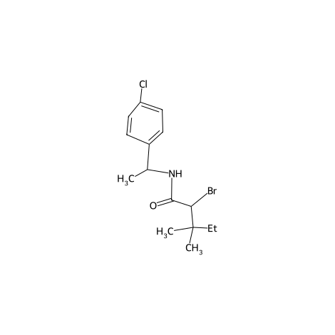 CCC(C)(C)C(Br)C(=O)NC(C)c1ccc(Cl)cc1